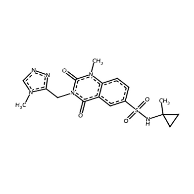 Cn1cnnc1Cn1c(=O)c2cc(S(=O)(=O)NC3(C)CC3)ccc2n(C)c1=O